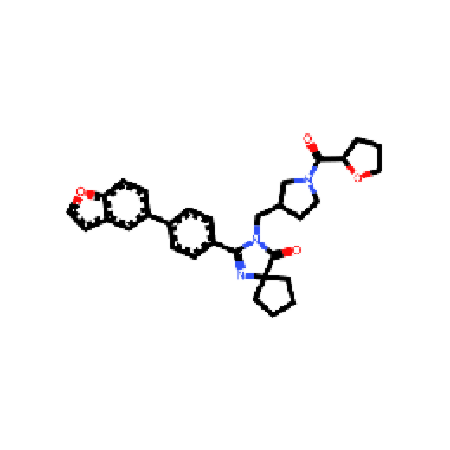 O=C(C1CCCO1)N1CCC(CN2C(=O)C3(CCCC3)N=C2c2ccc(-c3ccc4occc4c3)cc2)C1